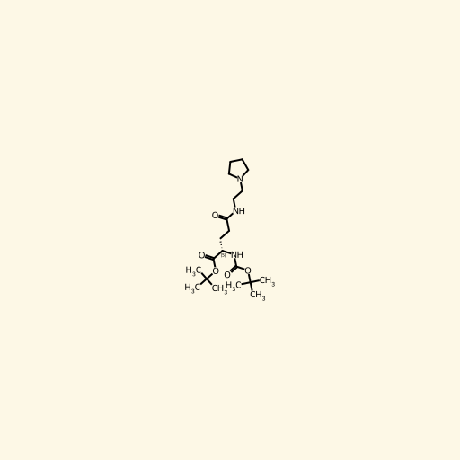 CC(C)(C)OC(=O)N[C@@H](CCC(=O)NCCN1CCCC1)C(=O)OC(C)(C)C